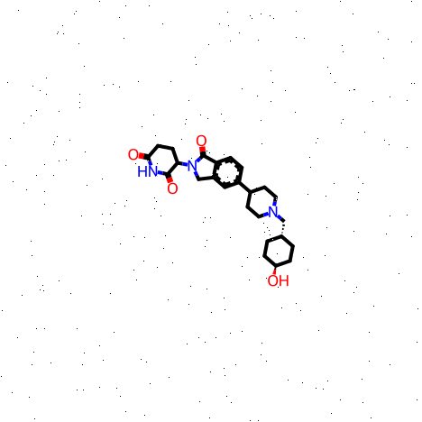 O=C1CCC(N2Cc3cc(C4CCN(C[C@H]5CC[C@H](O)CC5)CC4)ccc3C2=O)C(=O)N1